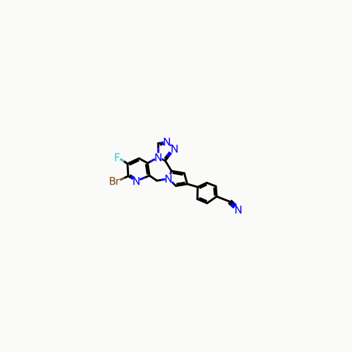 N#Cc1ccc(-c2cc3n(c2)Cc2nc(Br)c(F)cc2-n2cnnc2-3)cc1